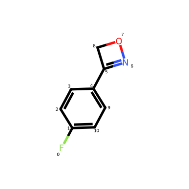 Fc1ccc(C2=NOC2)cc1